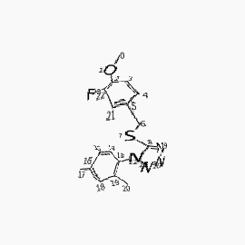 COc1ccc(CSc2nnnn2-c2ccc(C)cc2C)cc1F